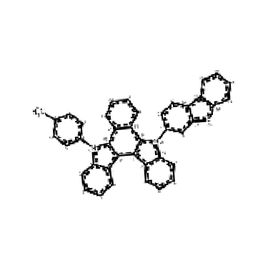 Cc1ccc(-n2c3ccccc3c3c4c5ccccc5n(-c5ccc6c(c5)sc5ccccc56)c4c4ccccc4c32)cc1